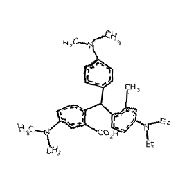 CCN(CC)c1ccc(C(c2ccc(N(C)C)cc2)c2ccc(N(C)C)cc2C(=O)O)c(C)c1